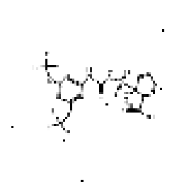 CC1(S(=O)(=O)NC(=O)Nc2nc(OC(F)(F)F)cc(OC(F)(F)F)n2)C=CC=CC1C(=O)O